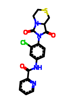 O=C(Nc1ccc(N2C(=O)C3CSCCN3C2=O)c(Cl)c1)c1ccccn1